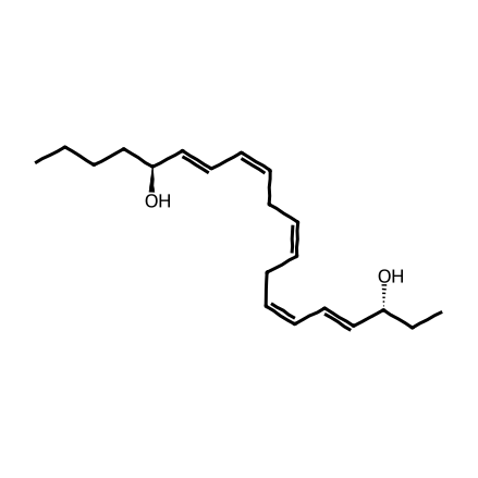 CCCC[C@H](O)/C=C/C=C\C/C=C\C/C=C\C=C\[C@H](O)CC